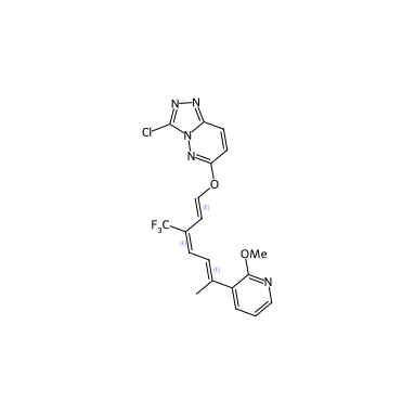 COc1ncccc1/C(C)=C/C=C(\C=C\Oc1ccc2nnc(Cl)n2n1)C(F)(F)F